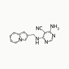 N#Cc1c(N)ncnc1NCc1cc2ccccn2c1